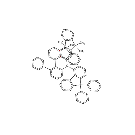 CC1(C)c2ccccc2-c2ccc(N(c3cccc(-c4ccccc4)c3-c3cccc4c3-c3ccccc3C4(C)C)c3cccc4c3-c3ccccc3C4(c3ccccc3)c3ccccc3)cc21